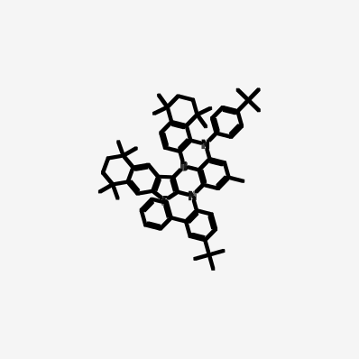 Cc1cc2c3c(c1)N(c1ccc(C(C)(C)C)cc1)c1c(ccc4c1C(C)(C)CCC4(C)C)B3c1c(sc3cc4c(cc13)C(C)(C)CCC4(C)C)N2c1ccc(C(C)(C)C)cc1-c1ccccc1